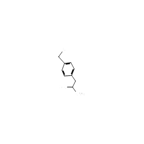 COC(C)Cc1ccc(CBr)cc1